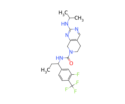 CCC(NC(=O)N1CCc2cnc(NC(C)C)nc2C1)c1ccc(C(F)(F)F)c(F)c1